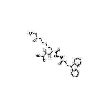 COC(=O)CCCCCC(NC(=O)C(=O)O)C(=O)NNC(=O)OCC1c2ccccc2-c2ccccc21